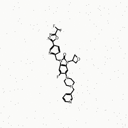 O=c1n(Cc2ccc(-c3nnc(C(F)F)o3)cn2)c2cc(F)c(N3CCN(Cc4cccnc4)CC3)cc2n1C1COC1